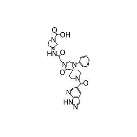 O=C(CN1CN(c2ccccc2)C2(CCN(C(=O)c3cnc4[nH]ncc4c3)CC2)C1=O)N[C@@H]1CCN(C(=O)O)C1